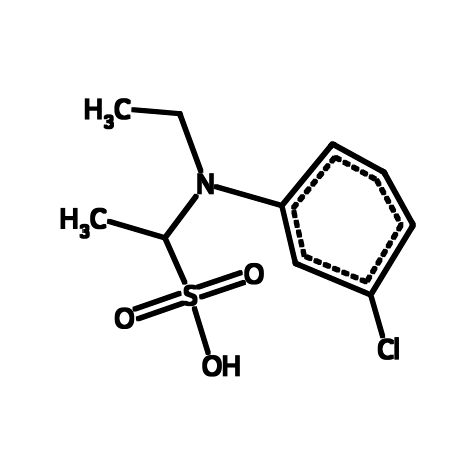 CCN(c1cccc(Cl)c1)C(C)S(=O)(=O)O